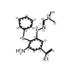 C=C(CC)c1cc(N)c(Sc2ccccc2)c(S/N=C/N(C)C)c1